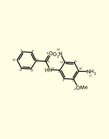 COc1cc(NC(=O)c2ccccc2)c([N+](=O)[O-])cc1N